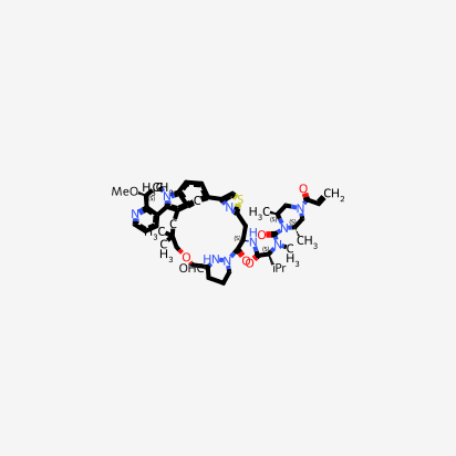 C=CC(=O)N1C[C@H](C)N(C(=O)N(C)[C@H](C(=O)N[C@H]2Cc3nc(cs3)-c3ccc4c(c3)c(c(-c3cccnc3[C@H](C)OC)n4C)CC(C)(C)COCC3(C=O)CCCN(N3)C2=O)C(C)C)[C@@H](C)C1